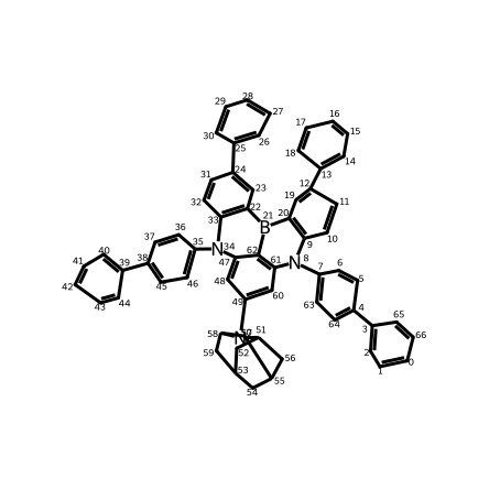 c1ccc(-c2ccc(N3c4ccc(-c5ccccc5)cc4B4c5cc(-c6ccccc6)ccc5N(c5ccc(-c6ccccc6)cc5)c5cc(N6C7CC8CC(C7)CC6C8)cc3c54)cc2)cc1